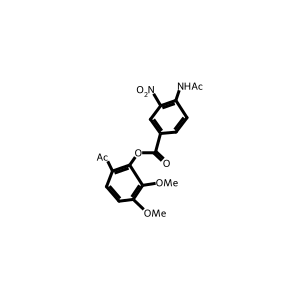 COc1ccc(C(C)=O)c(OC(=O)c2ccc(NC(C)=O)c([N+](=O)[O-])c2)c1OC